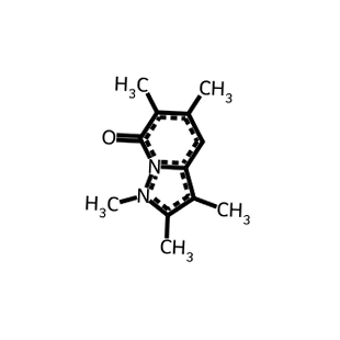 Cc1cc2c(C)c(C)n(C)n2c(=O)c1C